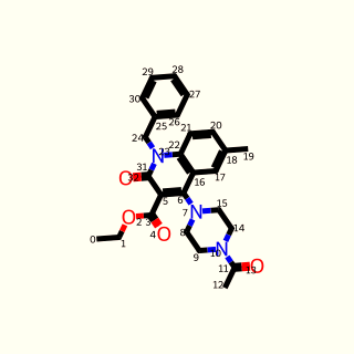 CCOC(=O)c1c(N2CCN(C(C)=O)CC2)c2cc(C)ccc2n(Cc2ccccc2)c1=O